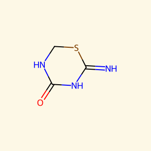 N=C1NC(=O)NCS1